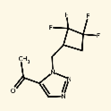 CC(=O)c1cnnn1CC1CC(F)(F)C1(F)F